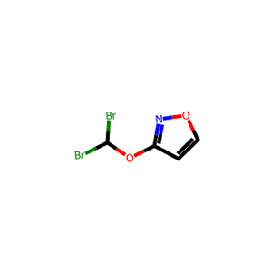 BrC(Br)Oc1ccon1